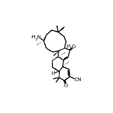 CC1(C)CC[C@H]2C(=O)C=C3[C@@]4(C)C=C(C#N)C(=O)C(C)(C)[C@@H]4CC[C@@]3(C)[C@]2(C)CC[C@@](C)(N)CC1